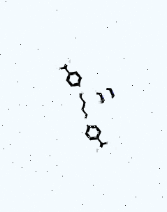 N=C(NO)c1ccc(OCCCCOc2ccc(C(=N)NO)cc2)cc1.O=C(O)/C=C\C(=O)O.O=C(O)/C=C\C(=O)O